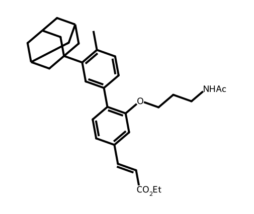 CCOC(=O)/C=C/c1ccc(-c2ccc(C)c(C34CC5CC(CC(C5)C3)C4)c2)c(OCCCNC(C)=O)c1